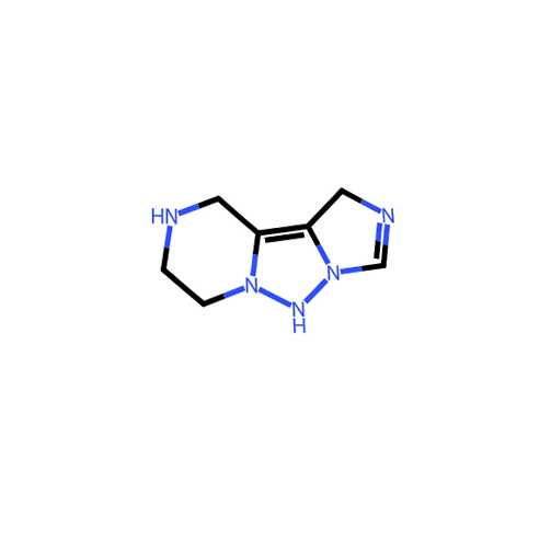 C1=NCC2=C3CNCCN3NN12